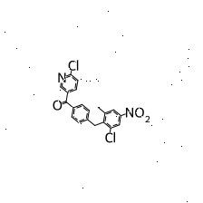 Cc1cc([N+](=O)[O-])cc(Cl)c1Cc1ccc(C(=O)c2ccc(Cl)nc2)cc1